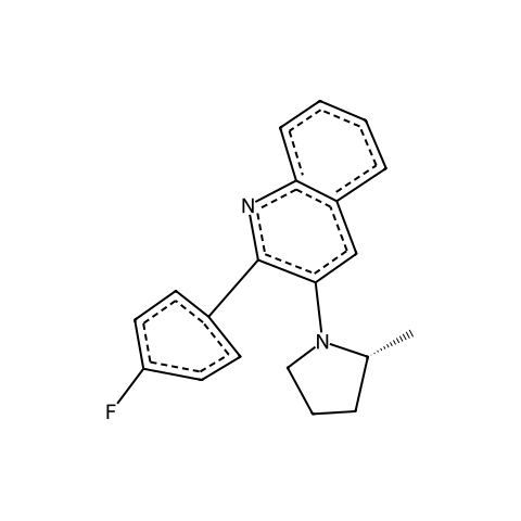 C[C@@H]1CCCN1c1cc2ccccc2nc1-c1ccc(F)cc1